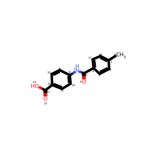 Cc1ccc(C(=O)Nc2ccc(C(=O)O)cc2)cc1